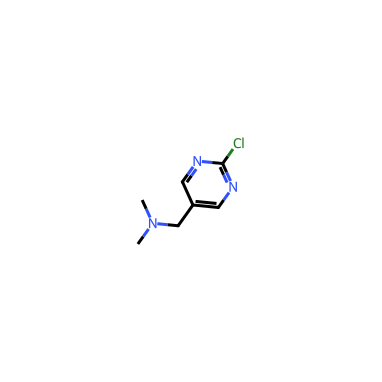 CN(C)Cc1cnc(Cl)nc1